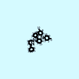 Cc1ccc(N(c2ccc(C)cc2)c2cccc3c2c2ccccc2n3-c2cccc(-c3ccccc3)n2)cc1